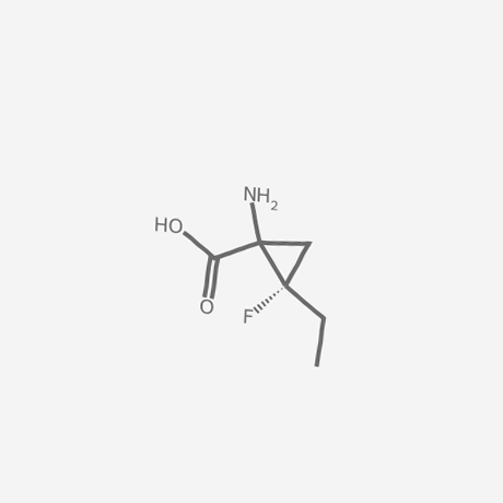 CC[C@]1(F)CC1(N)C(=O)O